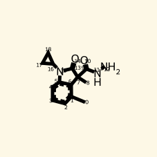 Cc1cccc2c1C(C)(C(=O)NN)C(=O)N2C1CC1